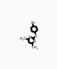 CC(=O)c1ccc(Sc2nc(C)cc(C)n2)cc1